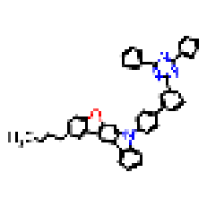 CCCCc1ccc2oc3cc4c(cc3c2c1)c1ccccc1n4-c1ccc(-c2cccc(-c3nc(-c4ccccc4)nc(-c4ccccc4)n3)c2)cc1